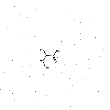 CC(C)(C)N[C@H](C(=O)C(C)(C)C)C(C)(C)C